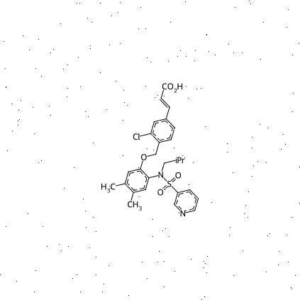 Cc1cc(OCc2ccc(C=CC(=O)O)cc2Cl)c(N(CC(C)C)S(=O)(=O)c2cccnc2)cc1C